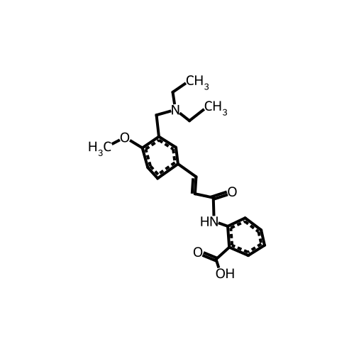 CCN(CC)Cc1cc(C=CC(=O)Nc2ccccc2C(=O)O)ccc1OC